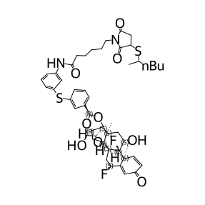 CCCCC(C)SC1CC(=O)N(CCCCCC(=O)Nc2cccc(Sc3cccc([C@@H]4O[C@@H]5C[C@H]6[C@@H]7C[C@H](F)C8=CC(=O)C=C[C@]8(C)[C@@]7(F)[C@@H](O)C[C@]6(C)[C@]5(C(=O)CO)O4)c3)c2)C1=O